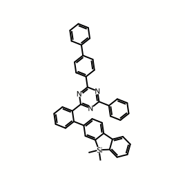 C[Si]1(C)c2ccccc2-c2ccc(-c3ccccc3-c3nc(-c4ccccc4)nc(-c4ccc(-c5ccccc5)cc4)n3)cc21